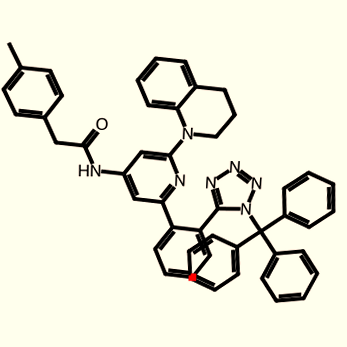 Cc1ccc(CC(=O)Nc2cc(-c3ccccc3-c3nnnn3C(c3ccccc3)(c3ccccc3)c3ccccc3)nc(N3CCCc4ccccc43)c2)cc1